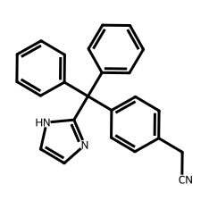 N#CCc1ccc(C(c2ccccc2)(c2ccccc2)c2ncc[nH]2)cc1